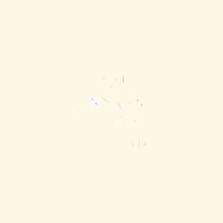 CCCCC(CC)COC(=O)/C(C#N)=C1\C=C(N2CCOCC2)CC(C)(C)C1